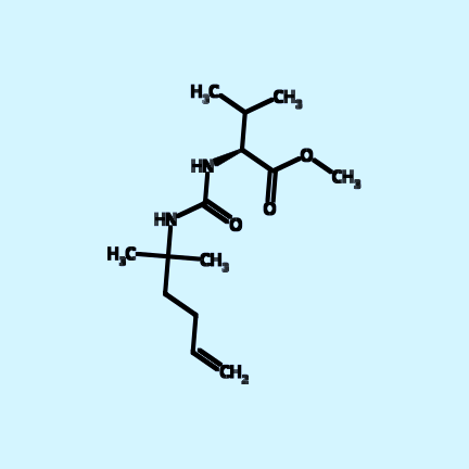 C=CCCC(C)(C)NC(=O)N[C@H](C(=O)OC)C(C)C